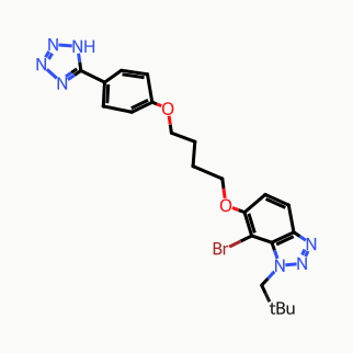 CC(C)(C)Cn1nnc2ccc(OCCCCOc3ccc(-c4nnn[nH]4)cc3)c(Br)c21